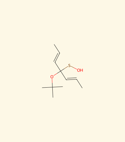 CC=CC(C=CC)(OC(C)(C)C)SO